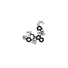 COc1ccc(S(=O)(=O)Nc2cc(CCC(=O)O)c(NS(=O)(=O)c3ccc(OC)cc3)c3ccccc23)cc1